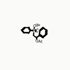 CC(=O)OC(CP(=O)(OCC(C)C)c1ccccc1)c1ccccc1